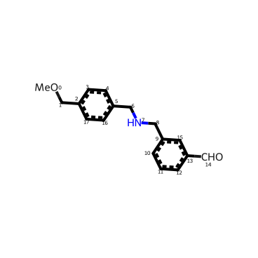 COCc1ccc(CNCc2cccc(C=O)c2)cc1